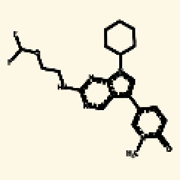 Cn1cc(-c2cn(C3CCCCC3)c3nc(NCCOC(F)F)ncc23)ccc1=O